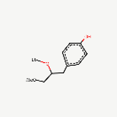 CCOC(COC)Cc1ccc(O)cc1